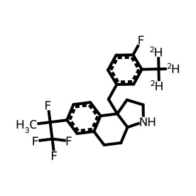 [2H]C([2H])([2H])c1cc(CC23CCNC2CCc2cc(C(C)(F)C(F)(F)F)ccc23)ccc1F